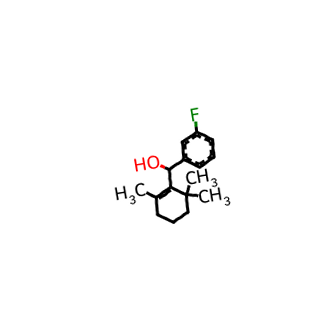 CC1=C(C(O)c2cccc(F)c2)C(C)(C)CCC1